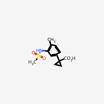 Cc1ccc(C2(C(=O)O)CC2)cc1NS(C)(=O)=O